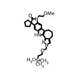 COCCN1C(=O)C2(CCCC2)c2cc3[nH]c4c(c3cc21)CCCc1cn(COCC[Si](C)(C)C)nc1-4